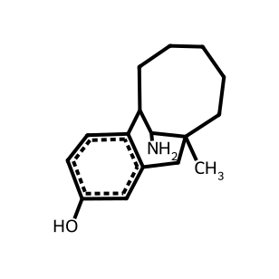 CC12CCCCCC(c3ccc(O)cc3C1)C2N